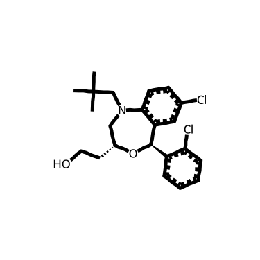 CC(C)(C)CN1C[C@@H](CCO)O[C@H](c2ccccc2Cl)c2cc(Cl)ccc21